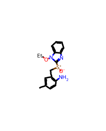 CCOn1c([S@@+]([O-])Cc2cc(C)ccc2N)nc2ccccc21